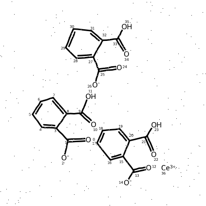 O=C([O-])c1ccccc1C(=O)O.O=C([O-])c1ccccc1C(=O)O.O=C([O-])c1ccccc1C(=O)O.[Ce+3]